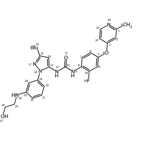 Cc1cc(Oc2ccc(NC(=O)Nc3cc(C(C)(C)C)nn3-c3cccc(NCCO)c3)c(F)c2)ccn1